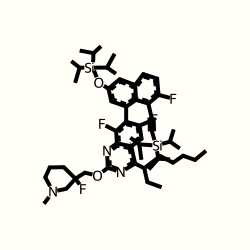 CCCCCC(CC)c1nc(OCC2(F)CCCN(C)C2)nc2c(F)c(-c3cc(O[Si](C(C)C)(C(C)C)C(C)C)cc4ccc(F)c(C#C[Si](C(C)C)(C(C)C)C(C)C)c34)c(F)cc12